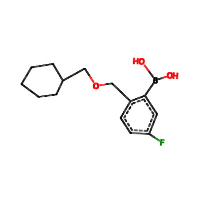 OB(O)c1cc(F)ccc1COCC1CCCCC1